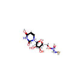 O=c1ccn([C@@H]2O[C@H](CO[N+]([O-])=NBr)[C@@H](O)[C@H]2O)c(=O)[nH]1